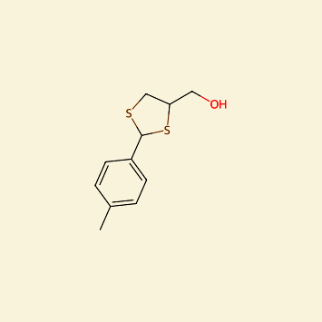 Cc1ccc(C2SCC(CO)S2)cc1